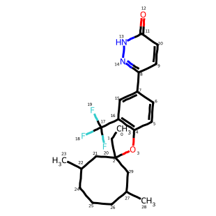 CCC1(Oc2ccc(-c3ccc(=O)[nH]n3)cc2C(F)(F)F)CC(C)CCCC(C)C1